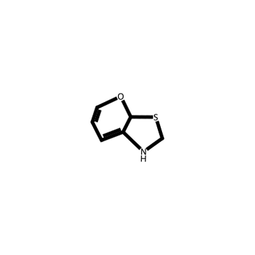 C1=COC2SCNC2=C1